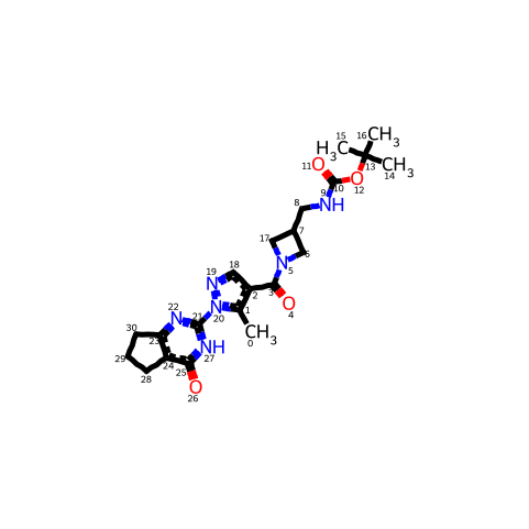 Cc1c(C(=O)N2CC(CNC(=O)OC(C)(C)C)C2)cnn1-c1nc2c(c(=O)[nH]1)CCC2